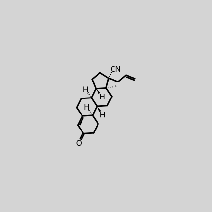 C=CC[C@]1(C#N)CC[C@H]2[C@@H]3CCC4=CC(=O)CC[C@@H]4[C@H]3CC[C@@]21C